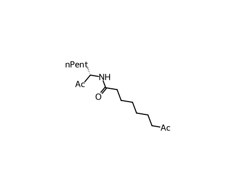 CCCCC[C@H](NC(=O)CCCCCCC(C)=O)C(C)=O